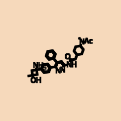 CC(=O)N(C)C1CCC(CC(=O)Nc2cc(-c3ccccc3)c(-c3ccc(C4(N)CC(C)(O)C4)cc3)nn2)CC1